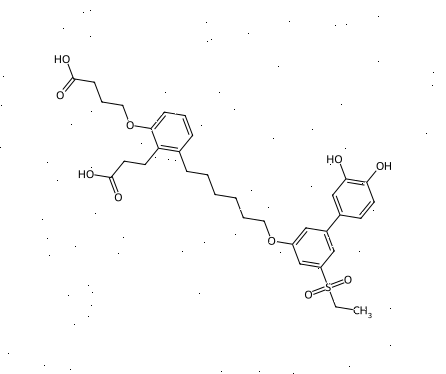 CCS(=O)(=O)c1cc(OCCCCCCc2cccc(OCCCC(=O)O)c2CCC(=O)O)cc(-c2ccc(O)c(O)c2)c1